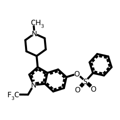 CN1CCC(c2cn(CC(F)(F)F)c3ccc(OS(=O)(=O)c4ccccc4)cc23)CC1